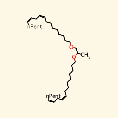 CCCCC/C=C\C/C=C\CCCCCCCCOCC(C)OCCCCCCCC/C=C\C/C=C\CCCCC